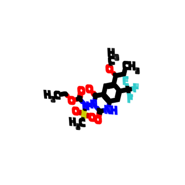 CCOC(=O)N(n1c(=O)[nH]c2cc(C(F)(F)F)c(C(CC)OC)cc2c1=O)S(C)(=O)=O